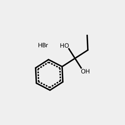 Br.CCC(O)(O)c1ccccc1